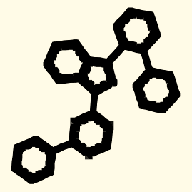 c1ccc(-c2ncnc(-c3oc(-c4ccccc4-c4ccccc4)c4ccccc34)n2)cc1